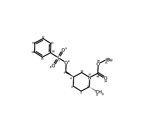 C[C@@H]1CC[C@@H](COS(=O)(=O)c2ccccc2)CN1C(=O)OC(C)(C)C